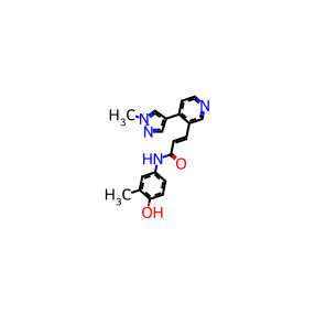 Cc1cc(NC(=O)C=Cc2cnccc2-c2cnn(C)c2)ccc1O